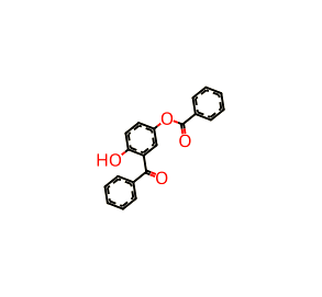 O=C(Oc1ccc(O)c(C(=O)c2ccccc2)c1)c1ccccc1